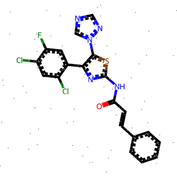 O=C(/C=C/c1ccccc1)Nc1nc(-c2cc(F)c(Cl)cc2Cl)c(-n2cncn2)s1